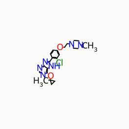 CN1CCN(CCOc2ccc(-c3nc4ncnc(OC5(C)CC5)c4[nH]3)c(Cl)c2)CC1